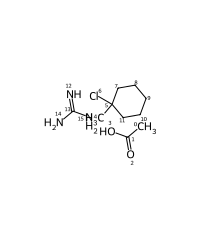 CC(=O)O.CC1(Cl)CCCCC1.N=C(N)N